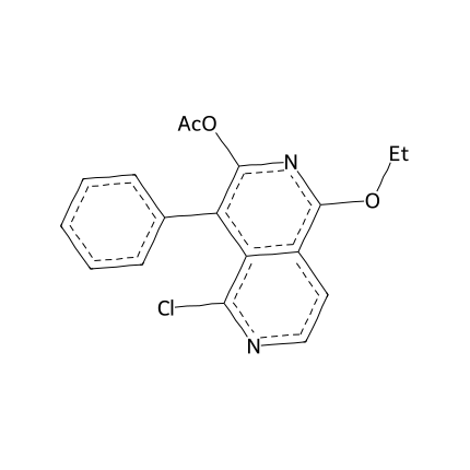 CCOc1nc(OC(C)=O)c(-c2ccccc2)c2c(Cl)nccc12